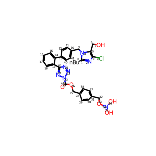 CCCCc1nc(Cl)c(CO)n1Cc1ccc(-c2ccccc2-c2nnn(C(=O)OCc3ccc(CON(O)O)cc3)n2)cc1